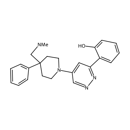 CNCC1(c2ccccc2)CCN(c2cnnc(-c3ccccc3O)c2)CC1